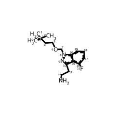 C[Si](C)(C)CCOCn1nc(CCN)c2c(F)cccc21